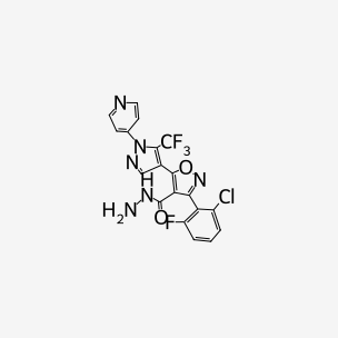 NNC(=O)c1c(-c2c(F)cccc2Cl)noc1-c1cnn(-c2ccncc2)c1C(F)(F)F